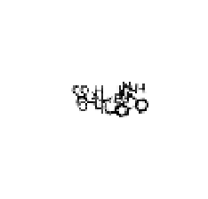 CCCCc1nc(-c2occc2C(=O)O)cn1Cc1ccc(-c2ccccc2-c2nnn[nH]2)cc1